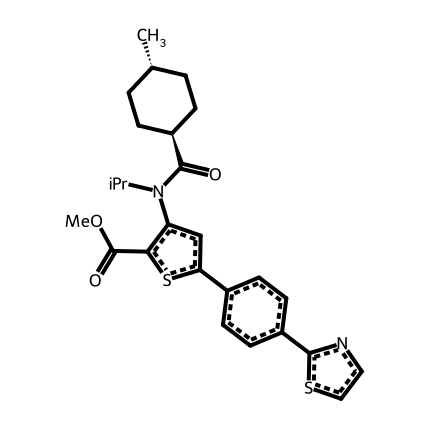 COC(=O)c1sc(-c2ccc(-c3nccs3)cc2)cc1N(C(=O)[C@H]1CC[C@H](C)CC1)C(C)C